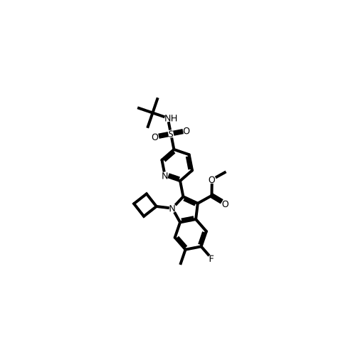 COC(=O)c1c(-c2ccc(S(=O)(=O)NC(C)(C)C)cn2)n(C2CCC2)c2cc(C)c(F)cc12